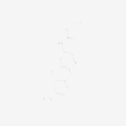 CCCCCNC(=O)Nc1ccc(Oc2ccc(N)cc2)c(C)c1